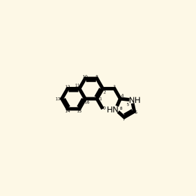 Cc1c(CC2NC=CN2)ccc2ccccc12